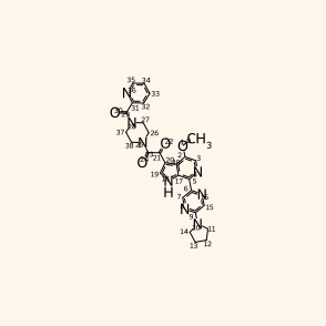 COc1cnc(-c2cnc(N3CCCC3)cn2)c2[nH]cc(C(=O)C(=O)N3CCN(C(=O)c4ccccn4)CC3)c12